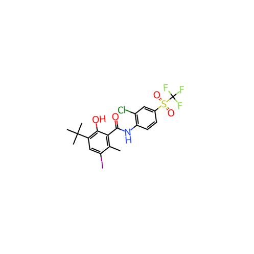 Cc1c(I)cc(C(C)(C)C)c(O)c1C(=O)Nc1ccc(S(=O)(=O)C(F)(F)F)cc1Cl